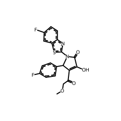 COCC(=O)C1=C(O)C(=O)N(c2nc3ccc(F)cc3s2)C1c1ccc(F)cc1